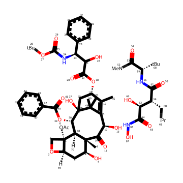 CC(=O)O[C@@]12CO[C@@H]1C[C@H](O)[C@@]1(C)C(=O)[C@H](O)C3=C(C)[C@@H](OC(=O)C(O)[C@@H](NC(=O)OC(C)(C)C)c4ccccc4)C[C@@](O)([C@@H](OC(=O)c4ccccc4)[C@H]21)C3(C)C.CNC(=O)[C@@H](NC(=O)[C@H](CC(C)C)[C@H](O)C(=O)NO)C(C)(C)C